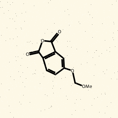 COCOc1ccc2c(c1)C(=O)OC2=O